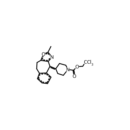 Cc1nc2c(o1)CCc1ccccc1C2=C1CCN(C(=O)OCC(Cl)(Cl)Cl)CC1